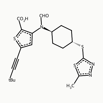 Cc1nnc(S[C@H]2CC[C@H](N(C=O)c3cc(C#CC(C)(C)C)sc3C(=O)O)CC2)s1